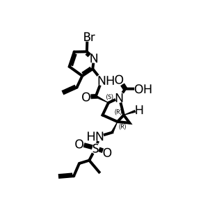 C=CCC(C)S(=O)(=O)NC[C@@]12C[C@@H](C(=O)Nc3nc(Br)ccc3C=C)N(C(=O)O)[C@@H]1C2